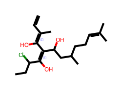 C=C/C(C)=C(O)/C(=C(/O)C(Cl)CC)C(O)CC(C)CCC=C(C)C